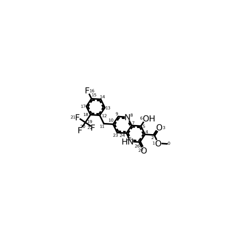 COC(=O)c1c(O)c2ncc(Cc3ccc(F)cc3C(F)(F)F)cc2[nH]c1=O